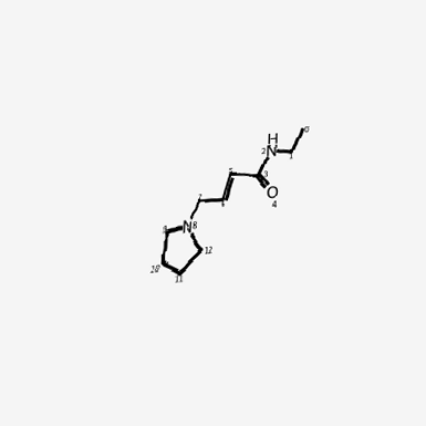 CCNC(=O)/C=C/CN1CCCC1